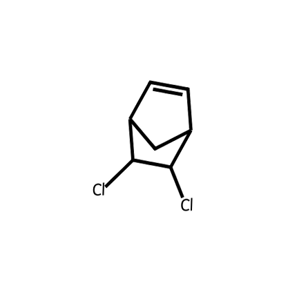 ClC1C2C=CC(C2)C1Cl